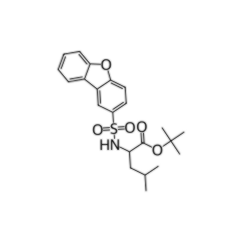 CC(C)CC(NS(=O)(=O)c1ccc2oc3ccccc3c2c1)C(=O)OC(C)(C)C